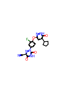 N#Cc1nn(-c2ccc(Oc3cc(C4CCCC4)c(=O)[nH]n3)c(F)c2)c(=O)[nH]c1=O